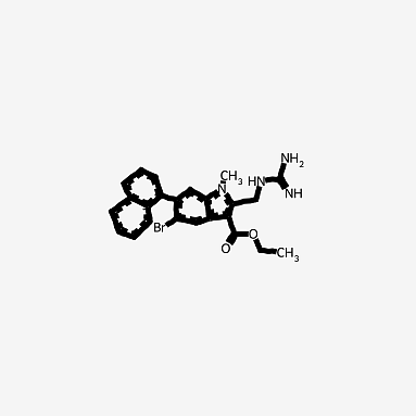 CCOC(=O)c1c(CNC(=N)N)n(C)c2cc(-c3cccc4ccccc34)c(Br)cc12